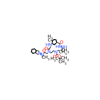 CCN(CCN(CC(=O)N(C)N1Cc2ccccc2C1)C(=O)CNc1cc(C(=O)NNC)ccc1C)C(=O)OC(C)(C)C